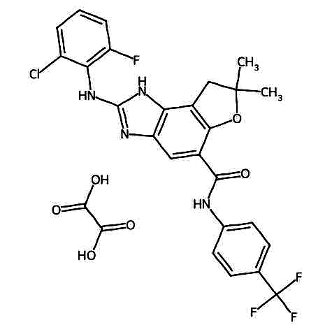 CC1(C)Cc2c(c(C(=O)Nc3ccc(C(F)(F)F)cc3)cc3nc(Nc4c(F)cccc4Cl)[nH]c23)O1.O=C(O)C(=O)O